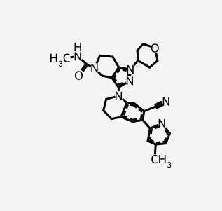 CNC(=O)N1CCc2c(c(N3CCCc4cc(-c5cc(C)ccn5)c(C#N)cc43)nn2C2CCOCC2)C1